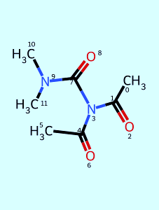 CC(=O)N(C(C)=O)C(=O)N(C)C